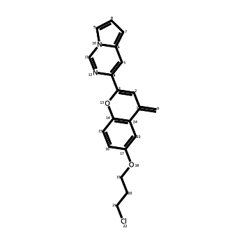 C=C1C=C(c2cc3cccn3cn2)Oc2ccc(OCCCCl)cc21